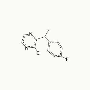 CC(c1ccc(F)cc1)c1nccnc1Cl